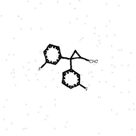 O=CC1CC1(c1cccc(F)c1)c1cccc(F)c1